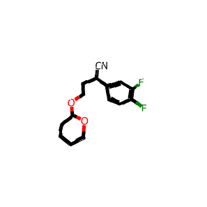 N#CC(CCOC1CCCCO1)c1ccc(F)c(F)c1